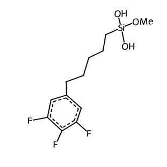 CO[Si](O)(O)CCCCCc1cc(F)c(F)c(F)c1